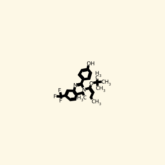 CC/C=C(/OC(C)(C)C)N1C(c2ccc(O)cc2)=Nc2cc(C(F)(F)F)ccc2C1C